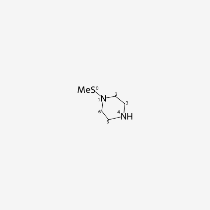 [CH2]SN1CCNCC1